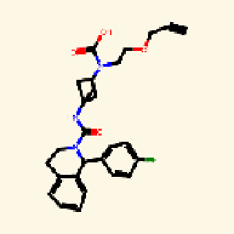 C#CCOCCN(C(=O)O)C12CC(NC(=O)N3CCc4ccccc4C3c3ccc(F)cc3)(C1)C2